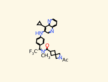 CC(=O)N1CC2(CC(C(=O)N(C)[C@@H](c3ccc(Nc4cnc5cccnc5c4C4CC4)cc3)C(F)(F)F)C2)C1